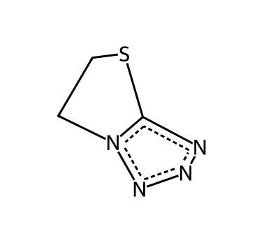 C1Cn2nnnc2S1